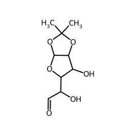 CC1(C)OC2OC(C(O)C=O)C(O)C2O1